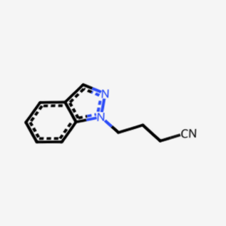 N#CCCCn1ncc2ccccc21